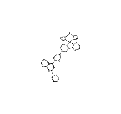 c1ccc(-c2nc(-c3ccc(-c4ccc5c(c4)-c4ccccc4C54c5ccccc5Sc5ccccc54)cc3)c3ccccc3n2)cc1